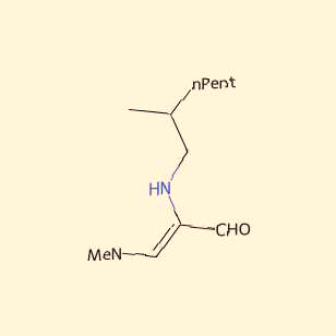 CCCCCC(C)CN/C(C=O)=C\NC